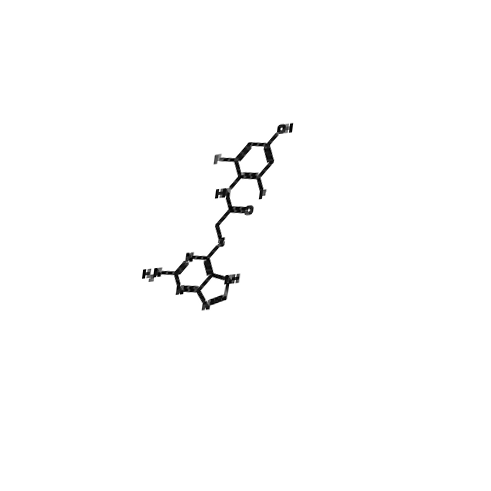 Nc1nc(SCC(=O)Nc2c(F)cc(O)cc2F)c2[nH]cnc2n1